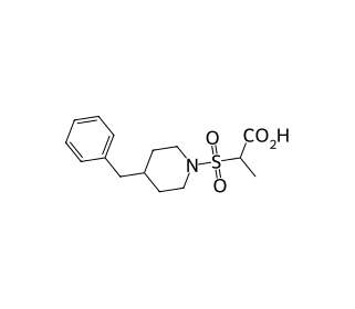 CC(C(=O)O)S(=O)(=O)N1CCC(Cc2ccccc2)CC1